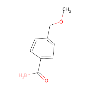 BC(=O)c1ccc(COC)cc1